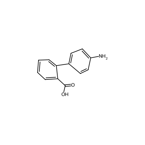 Nc1ccc(-c2ccccc2C(=O)O)cc1